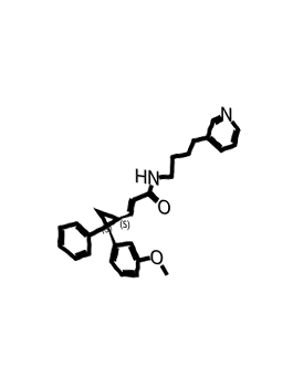 COc1cccc([C@@]2(c3ccccc3)C[C@H]2C=CC(=O)NCCCCc2cccnc2)c1